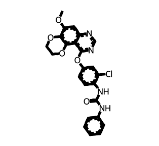 COc1cc2ncnc(Oc3ccc(NC(=O)Nc4ccccc4)c(Cl)c3)c2c2c1OCCO2